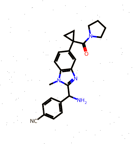 Cn1c(C(N)c2ccc(C#N)cc2)nc2cc(C3(C(=O)N4CCCC4)CC3)ccc21